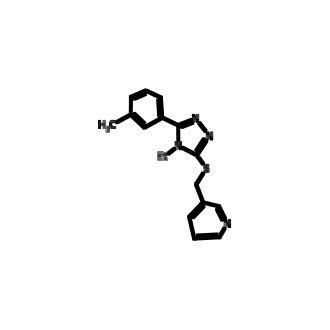 CCn1c(SCc2cccnc2)nnc1-c1cccc(C)c1